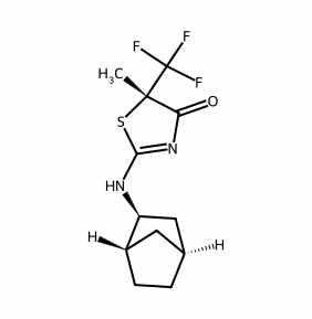 C[C@]1(C(F)(F)F)SC(N[C@H]2C[C@H]3CC[C@H]2C3)=NC1=O